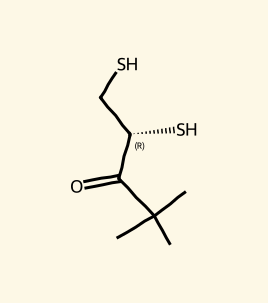 CC(C)(C)C(=O)[C@@H](S)CS